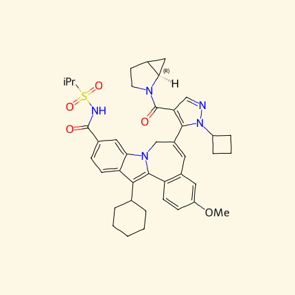 COc1ccc2c(c1)C=C(c1c(C(=O)N3CCC4C[C@H]43)cnn1C1CCC1)Cn1c-2c(C2CCCCC2)c2ccc(C(=O)NS(=O)(=O)C(C)C)cc21